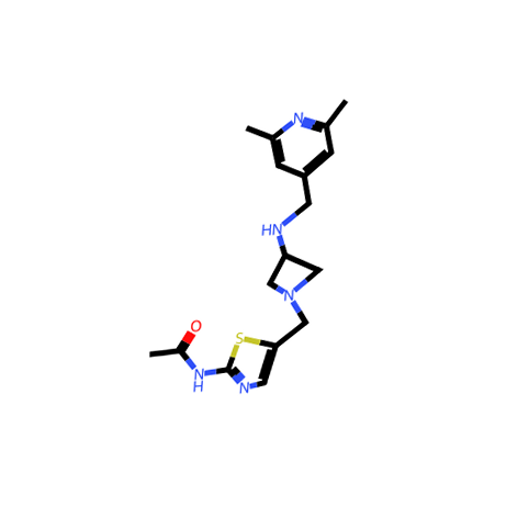 CC(=O)Nc1ncc(CN2CC(NCc3cc(C)nc(C)c3)C2)s1